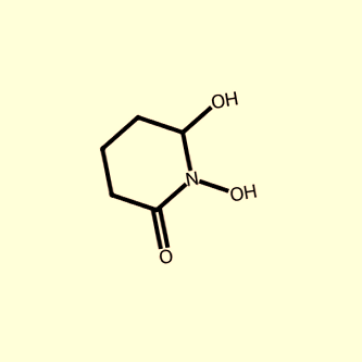 O=C1CCCC(O)N1O